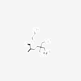 C=C(CCC(CO)(CO)CO)C(=O)OCCO